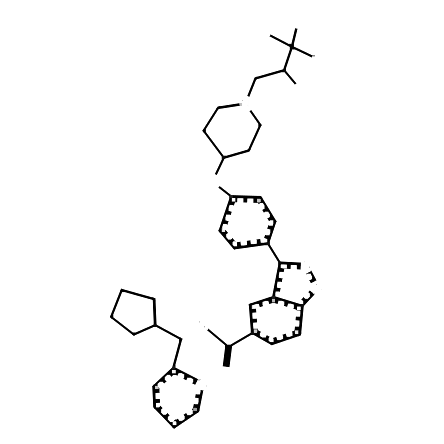 O=C(N[C@H](c1ccccn1)C1CCCC1)c1ccc2[nH]nc(-c3ccc(OC4CCN(CC(O)C(F)(F)F)CC4)cc3)c2c1